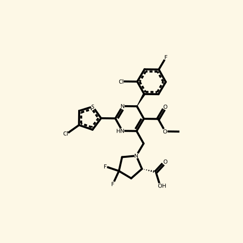 COC(=O)C1=C(CN2CC(F)(F)C[C@H]2C(=O)O)NC(c2cc(Cl)cs2)=N[C@H]1c1ccc(F)cc1Cl